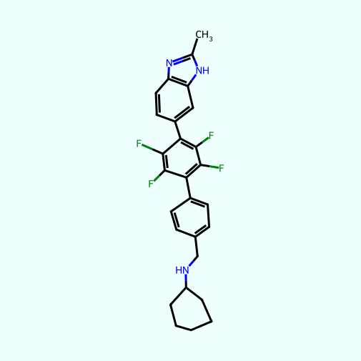 Cc1nc2ccc(-c3c(F)c(F)c(-c4ccc(CNC5CCCCC5)cc4)c(F)c3F)cc2[nH]1